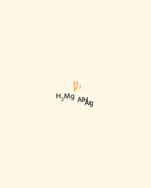 P.[Ag].[AlH3].[MgH2]